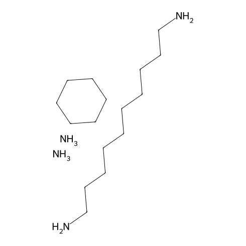 C1CCCCC1.N.N.NCCCCCCCCCCN